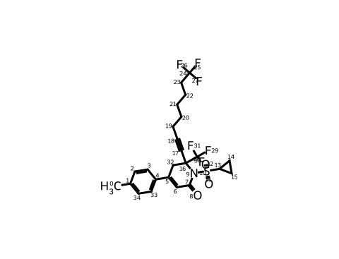 Cc1ccc(C2=CC(=O)N(S(=O)(=O)C3CC3)C(C#CCCCCCC(F)(F)F)(C(F)(F)F)C2)cc1